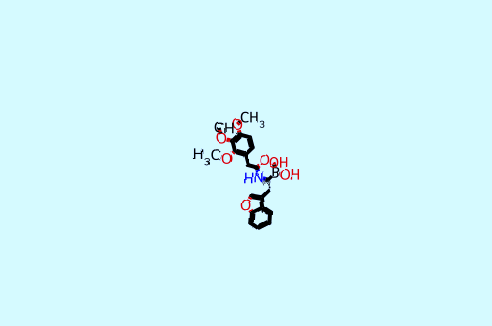 COc1ccc(CC(=O)N[C@@H](Cc2coc3ccccc23)B(O)O)c(OC)c1OC